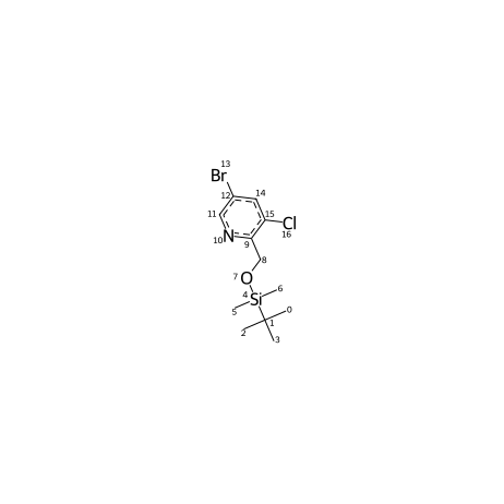 CC(C)(C)[Si](C)(C)OCc1ncc(Br)cc1Cl